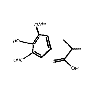 CC(C)C(=O)O.COc1cccc(C=O)c1O